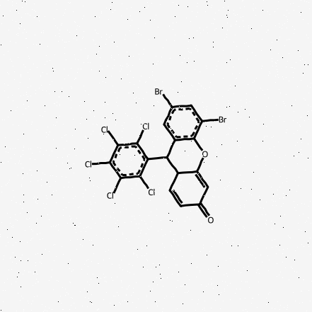 O=C1C=CC2C(=C1)Oc1c(Br)cc(Br)cc1C2c1c(Cl)c(Cl)c(Cl)c(Cl)c1Cl